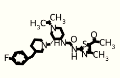 CC(=O)c1sc(NC(=O)N[C@@H]2CCN(C(C)C)C[C@H]2CN2CCCC(Cc3ccc(F)cc3)C2)nc1C